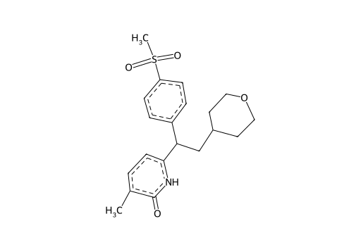 Cc1ccc(C(CC2CCOCC2)c2ccc(S(C)(=O)=O)cc2)[nH]c1=O